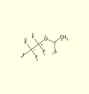 CC([S])OC(F)(F)C(F)(F)F